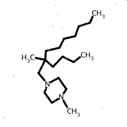 CCCCCCCC(C)(CCCC)CN1CCN(C)CC1